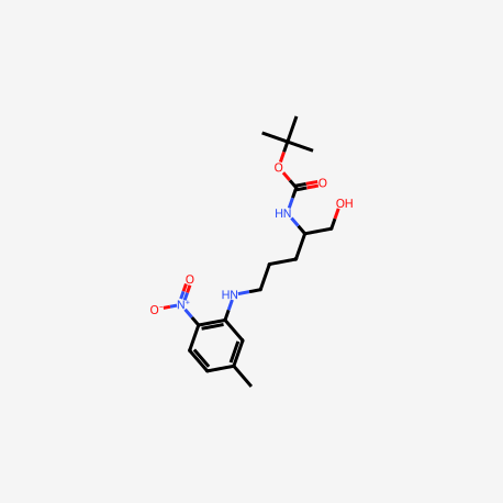 Cc1ccc([N+](=O)[O-])c(NCCCC(CO)NC(=O)OC(C)(C)C)c1